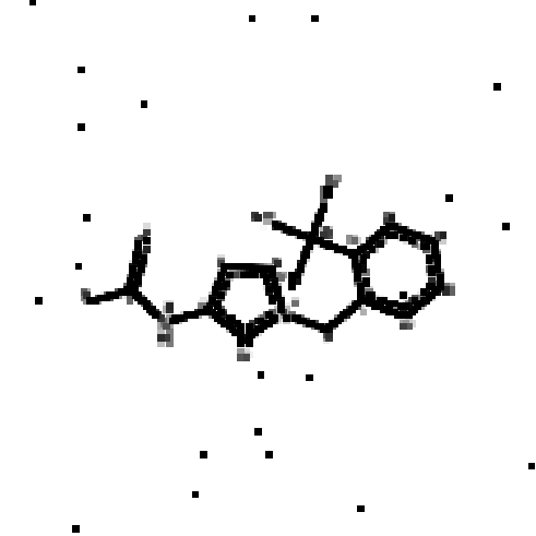 CC(=O)Nc1ccn(Cc2ccccc2C(F)(F)F)n1